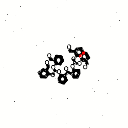 O=Cc1ccccc1OP(Oc1ccccc1C=O)Oc1ccccc1C(=O)c1ccccc1OP(Oc1ccccc1C=O)Oc1ccccc1C=O